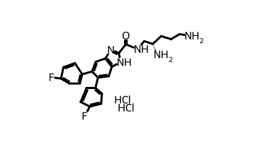 Cl.Cl.NCCC[C@H](N)CNC(=O)c1nc2cc(-c3ccc(F)cc3)c(-c3ccc(F)cc3)cc2[nH]1